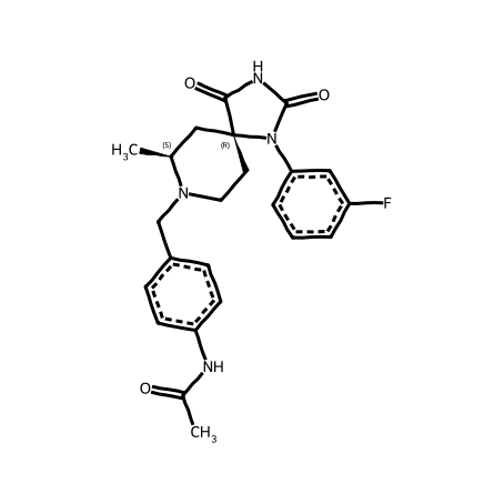 CC(=O)Nc1ccc(CN2CC[C@@]3(C[C@@H]2C)C(=O)NC(=O)N3c2cccc(F)c2)cc1